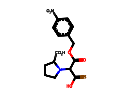 O=C(O)C1CCCN1C(C(=O)OCc1ccc([N+](=O)[O-])cc1)C(O)=S